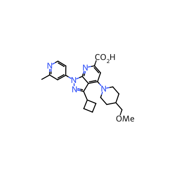 COCC1CCN(c2cc(C(=O)O)nc3c2c(C2CCC2)nn3-c2ccnc(C)c2)CC1